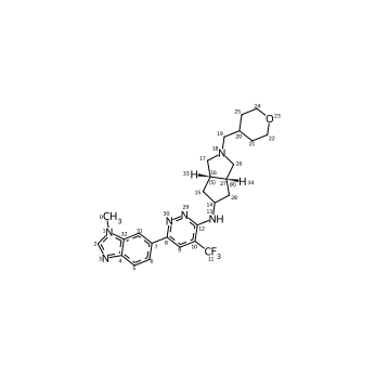 Cn1cnc2ccc(-c3cc(C(F)(F)F)c(NC4C[C@@H]5CN(CC6CCOCC6)C[C@@H]5C4)nn3)cc21